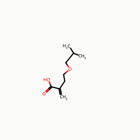 C=C(CCOCC(C)C)C(=O)O